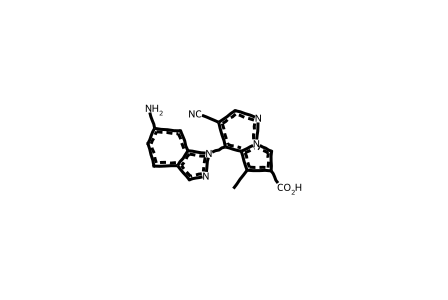 Cc1c(C(=O)O)cn2ncc(C#N)c(-n3ncc4ccc(N)cc43)c12